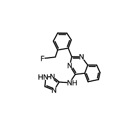 FCc1ccccc1-c1nc(Nc2nc[nH]n2)c2ccccc2n1